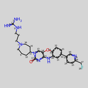 N=C(N)NCCCN1CCCC(n2cc3c(nc2=O)Nc2cc(-c4ccc(CF)nc4)ccc2O3)CC1